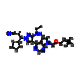 CCNc1nn(C(CC#N)C2CCCC2)cc1-c1ncnc2c1ccn2COCC[Si](C)(C)C